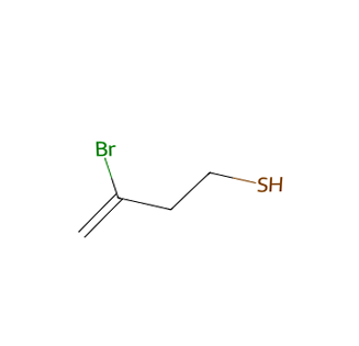 C=C(Br)CCS